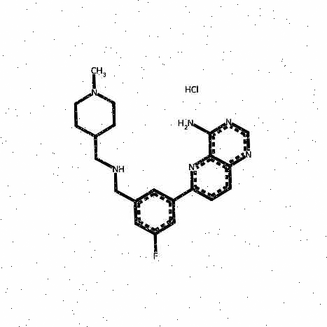 CN1CCC(CNCc2cc(F)cc(-c3ccc4ncnc(N)c4n3)c2)CC1.Cl